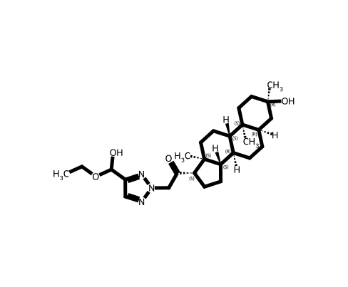 CCOC(O)c1cnn(CC(=O)[C@H]2CC[C@H]3[C@@H]4CC[C@@H]5C[C@](C)(O)CC[C@]5(C)[C@H]4CC[C@]23C)n1